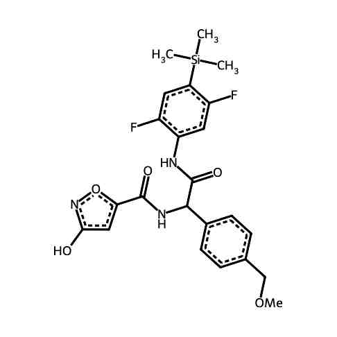 COCc1ccc(C(NC(=O)c2cc(O)no2)C(=O)Nc2cc(F)c([Si](C)(C)C)cc2F)cc1